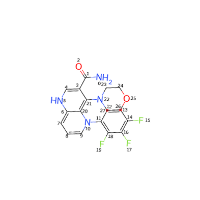 NC(=O)C1=CNC2=CC=CN(c3ccc(F)c(F)c3F)C2=C1N1CCOCC1